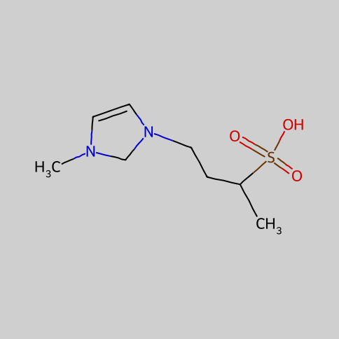 CC(CCN1C=CN(C)C1)S(=O)(=O)O